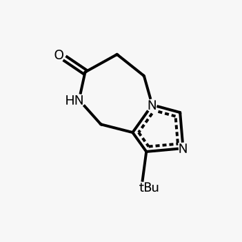 CC(C)(C)c1ncn2c1CNC(=O)CC2